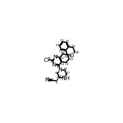 N#CC[C@H]1CN(c2nc(Cl)nc3c2CCC2(C3)OCCc3ccccc32)CCN1